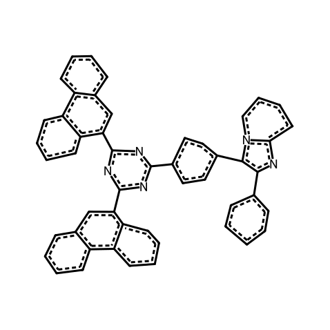 c1ccc(-c2nc3ccccn3c2-c2ccc(-c3nc(-c4cc5ccccc5c5ccccc45)nc(-c4cc5ccccc5c5ccccc45)n3)cc2)cc1